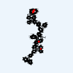 O=P1(c2ccccc2)c2cccc3c2-c2c(cccc2P(=O)(c2ccc(-c4ccc5c(c4)c4cc(-c6ccc7c(c6)Nc6ccccc6P(=S)(c6ccc(-c8cccc9c8Sc8ccccc8P(=S)(c8ccccc8)N9c8ccc(-c9ccc(-n%10c%11ccccc%11c%11ccccc%11%10)cc9)cc8)cc6)N7c6ccccc6)ccc4n5-c4ccccc4)cc2)N3c2ccccc2)N1c1ccccc1